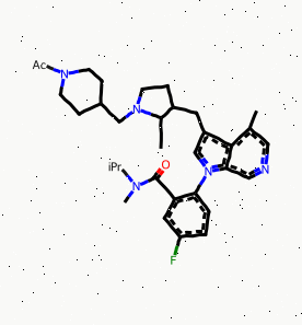 CC(=O)N1CCC(CN2CCC(Cc3cn(-c4ccc(F)cc4C(=O)N(C)C(C)C)c4cncc(C)c34)C2C)CC1